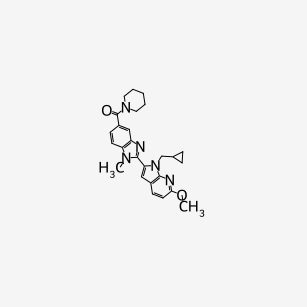 COc1ccc2cc(-c3nc4cc(C(=O)N5CCCCC5)ccc4n3C)n(CC3CC3)c2n1